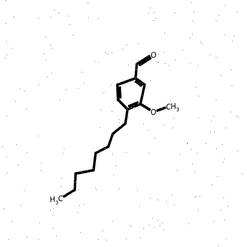 CCCCCCCCc1ccc(C=O)cc1OC